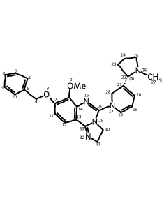 COc1c(OCc2ccccc2)ccc2c1N=C(N1C=CC=C([C@@H]3CCCN3C)C1)N1CCN=C21